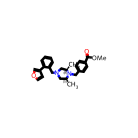 COC(=O)c1ccc(CN2[C@H](C)CN(Cc3ccccc3-c3ccoc3)C[C@@H]2C)cc1